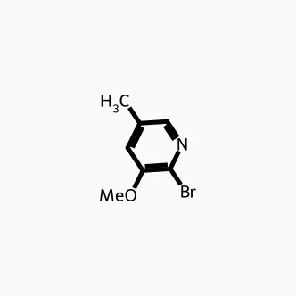 COc1cc(C)cnc1Br